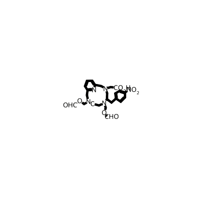 O=COCN1CCN(COC=O)C(Cc2ccc([N+](=O)[O-])cc2)CN(CC(=O)O)Cc2cccc(n2)C1